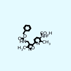 Cc1nc(-c2onc(C)c2CNC(=O)OCc2ccccc2)ccc1NC(=O)O